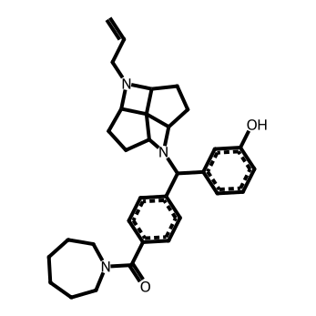 C=CCN1C2CCC3N(C(c4ccc(C(=O)N5CCCCCC5)cc4)c4cccc(O)c4)C4CCC1C234